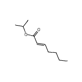 CCCCC=CC(=O)OC(C)C